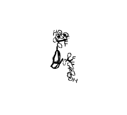 O=C(OCC12CC3CC(C1)CC(COC(=O)C(F)(F)S(=O)(=O)O)(C3)C2)C(F)(F)SOOO